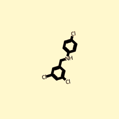 Clc1ccc(NCc2cc(Cl)cc(Cl)c2)cc1